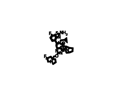 Nc1nc2c(C3=Cc4nc(OC[C@@]56CCCN5C[C@H](F)C6)nc(N5CC6CCC(C5)N6)c4S(=O)(=O)N3CC3CC3)ccc(F)c2s1